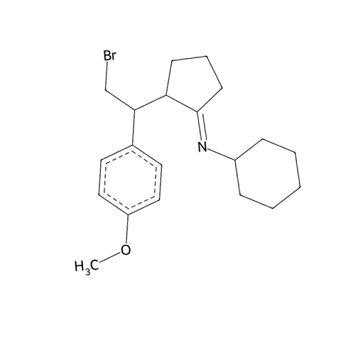 COc1ccc(C(CBr)C2CCCC2=NC2CCCCC2)cc1